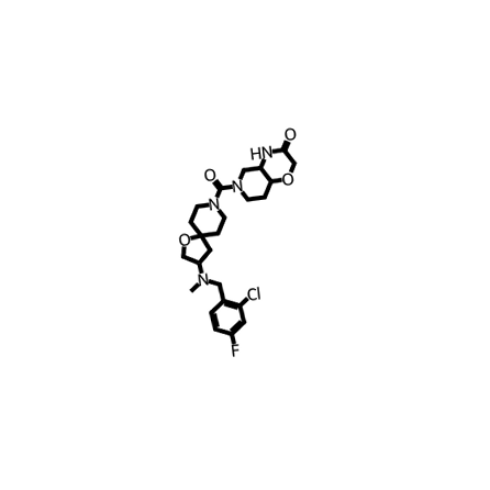 CN(Cc1ccc(F)cc1Cl)C1COC2(CCN(C(=O)N3CCC4OCC(=O)NC4C3)CC2)C1